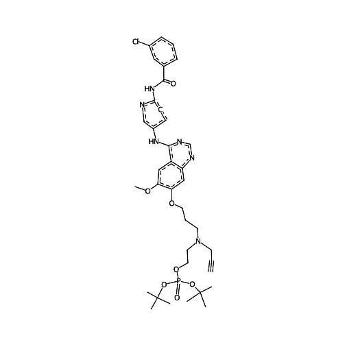 C#CCN(CCCOc1cc2ncnc(Nc3ccc(NC(=O)c4cccc(Cl)c4)nc3)c2cc1OC)CCOP(=O)(OC(C)(C)C)OC(C)(C)C